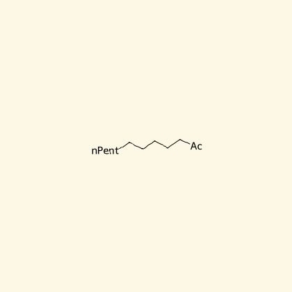 [CH2]CCCCCCCCCC(C)=O